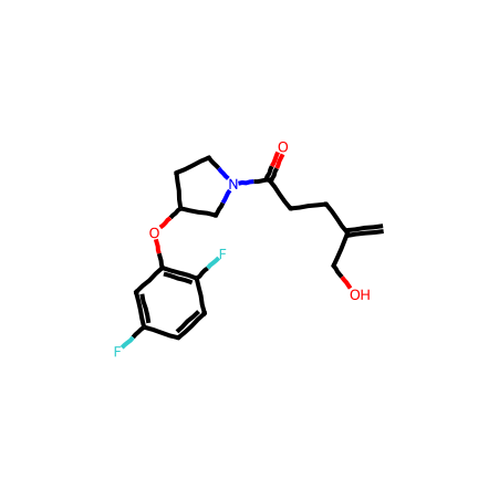 C=C(CO)CCC(=O)N1CCC(Oc2cc(F)ccc2F)C1